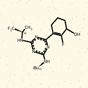 CC[C@H](C)Nc1nc(N[C@H](C)C(F)(F)F)nc(C2=C(F)C(O)CCC2)n1